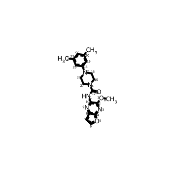 COc1nc2occc2nc1NC(=O)N1CCN(c2cc(C)cc(C)c2)CC1